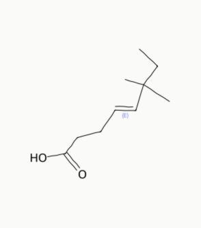 CCC(C)(C)/C=C/CCC(=O)O